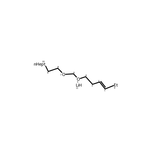 [CH2]C/C=C/CCOCOCCCCCCCCC.[LiH]